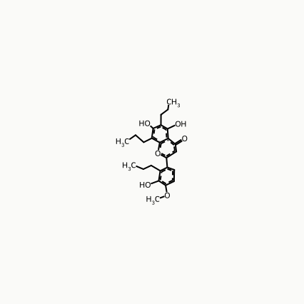 CCCc1c(-c2cc(=O)c3c(O)c(CCC)c(O)c(CCC)c3o2)ccc(OC)c1O